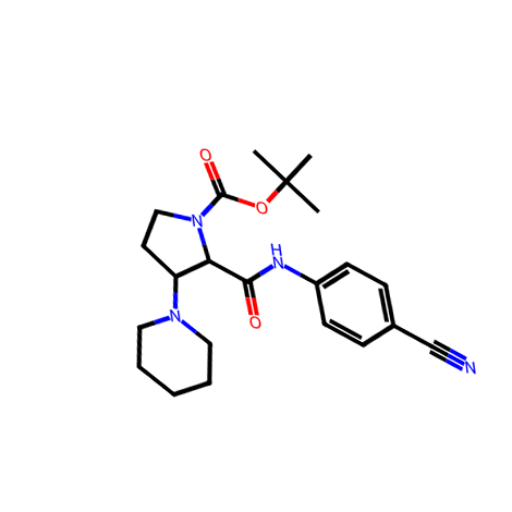 CC(C)(C)OC(=O)N1CCC(N2CCCCC2)C1C(=O)Nc1ccc(C#N)cc1